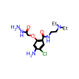 CCN(CC)CCNC(=O)c1cc(Cl)c(N)cc1OCC(=O)NN